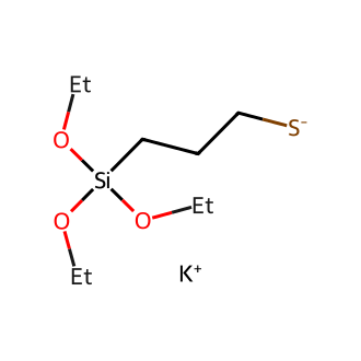 CCO[Si](CCC[S-])(OCC)OCC.[K+]